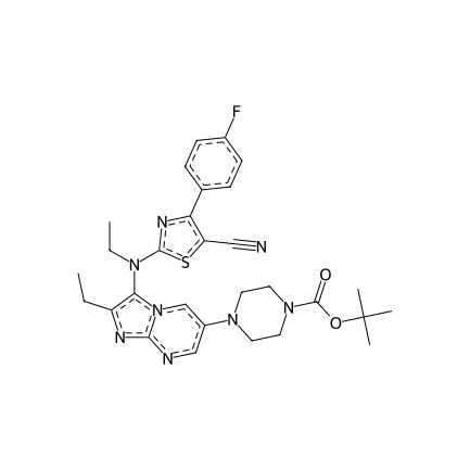 CCc1nc2ncc(N3CCN(C(=O)OC(C)(C)C)CC3)cn2c1N(CC)c1nc(-c2ccc(F)cc2)c(C#N)s1